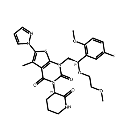 COCCO[C@@H](Cn1c(=O)n([C@@H]2CCCNC2=O)c(=O)c2c(C)c(-n3cccn3)sc21)c1cc(F)ccc1OC